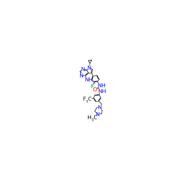 CN1CCN(Cc2cc(NC(=O)Nc3ccc(-c4cn(C5CC5)c5ncnc(N)c45)cc3F)cc(C(F)(F)F)c2)CC1